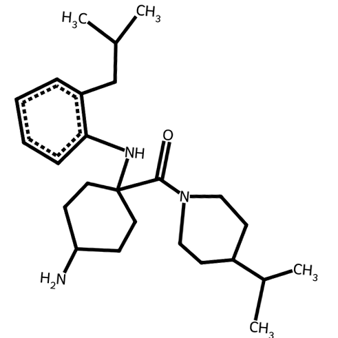 CC(C)Cc1ccccc1NC1(C(=O)N2CCC(C(C)C)CC2)CCC(N)CC1